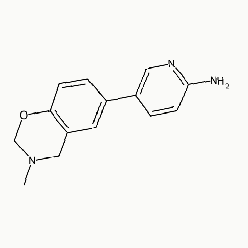 CN1COc2ccc(-c3ccc(N)nc3)cc2C1